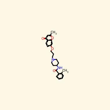 Cc1cc(=O)c2ccc(OCCCN3CCC(NC(=O)c4ccccc4C)CC3)cc2o1